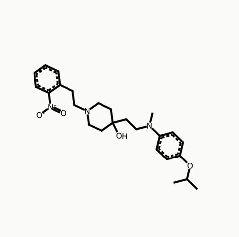 CC(C)Oc1ccc(N(C)CCC2(O)CCN(CCc3ccccc3[N+](=O)[O-])CC2)cc1